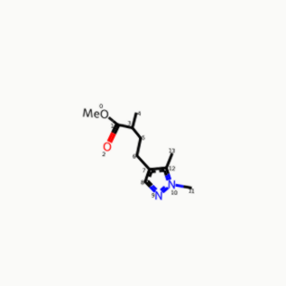 COC(=O)C(C)CCc1cnn(C)c1C